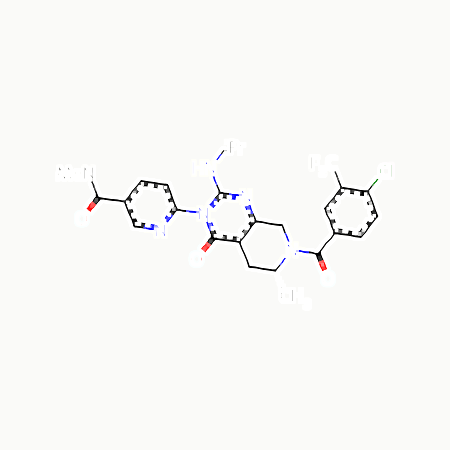 CNC(=O)c1ccc(-n2c(NC(C)C)nc3c(c2=O)C[C@@H](C)N(C(=O)c2ccc(Cl)c(C(F)(F)F)c2)C3)nc1